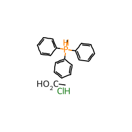 CC(=O)O.C[PH](c1ccccc1)(c1ccccc1)c1ccccc1.Cl